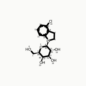 OC[C@H]1O[C@@H](N2CCc3c(Cl)cccc32)[C@H](O)[C@@H](O)[C@H]1O